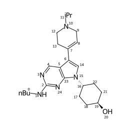 CCCCNc1ncc2c(C3=CCN(C(C)C)CC3)cn([C@H]3CC[C@H](O)CC3)c2n1